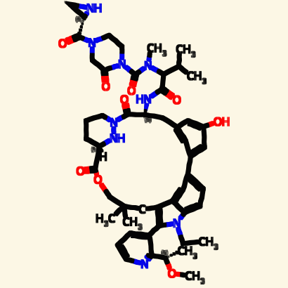 CCn1c(-c2cccnc2[C@H](C)OC)c2c3cc(ccc31)-c1cc(O)cc(c1)C[C@H](NC(=O)C(C(C)C)N(C)C(=O)N1CCN(C(=O)[C@@H]3CN3)CC1=O)C(=O)N1CCC[C@H](N1)C(=O)OCC(C)(C)C2